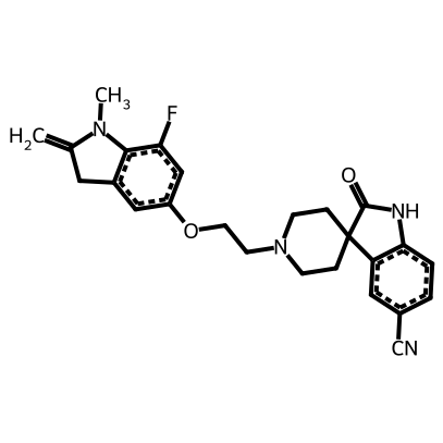 C=C1Cc2cc(OCCN3CCC4(CC3)C(=O)Nc3ccc(C#N)cc34)cc(F)c2N1C